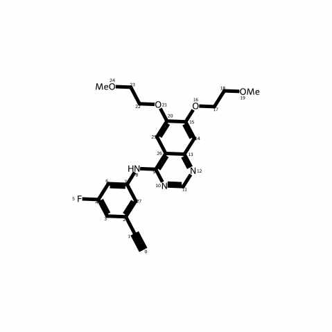 C#Cc1cc(F)cc(Nc2ncnc3cc(OCCOC)c(OCCOC)cc23)c1